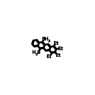 Bc1c2ccccc2c(B)c2cc3c(CC)c(CC)c(CC)c(CC)c3cc12